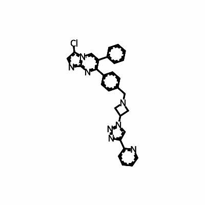 Clc1cnc2nc(-c3ccc(CN4CC(n5cc(-c6ccccn6)nn5)C4)cc3)c(-c3ccccc3)cn12